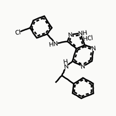 CC(Nc1ncnc2[nH]nc(Nc3cccc(Cl)c3)c12)c1ccccc1.Cl